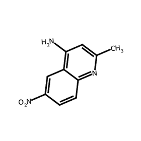 Cc1cc(N)c2cc([N+](=O)[O-])ccc2n1